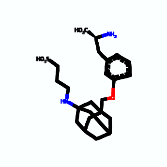 N[C@@H](Cc1cccc(OCC23CC4CC(C2)CC(NCCCS(=O)(=O)O)(C4)C3)c1)C(=O)O